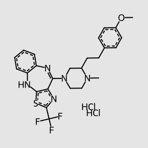 COc1ccc(CCC2CN(C3=Nc4ccccc4Nc4sc(C(F)(F)F)nc43)CCN2C)cc1.Cl.Cl